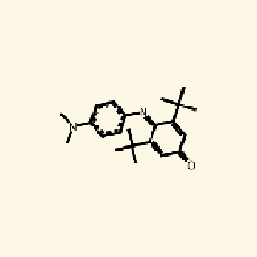 CN(C)c1ccc(N=C2C(C(C)(C)C)=CC(=O)C=C2C(C)(C)C)cc1